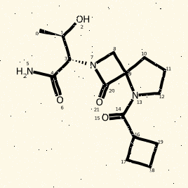 C[C@@H](O)[C@@H](C(N)=O)N1CC2(CCCN2C(=O)C2CCC2)C1=O